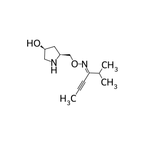 CC#C/C(=N\OC[C@@H]1C[C@H](O)CN1)C(C)C